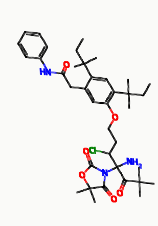 CCC(C)(C)c1cc(C(C)(C)CC)c(OCCC(Cl)C(N)(C(=O)C(C)(C)C)N2C(=O)OC(C)(C)C2=O)cc1CC(=O)Nc1ccccc1